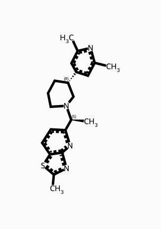 Cc1cc([C@H]2CCCN([C@@H](C)c3ccc4sc(C)nc4n3)C2)cc(C)n1